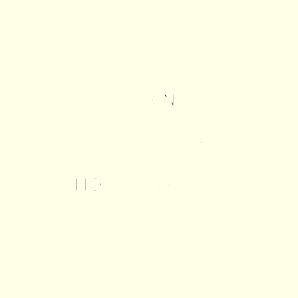 CC1C[C@@H](C#N)[C@@H](CO)O1